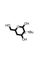 CC(C)(C)[C@@H]1C(O)CC(CO)OC1O